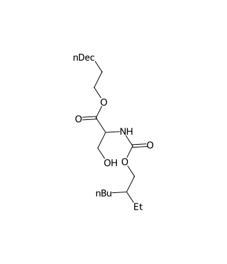 CCCCCCCCCCCCOC(=O)C(CO)NC(=O)OCC(CC)CCCC